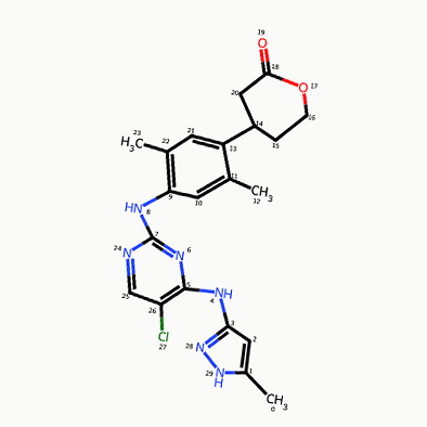 Cc1cc(Nc2nc(Nc3cc(C)c(C4CCOC(=O)C4)cc3C)ncc2Cl)n[nH]1